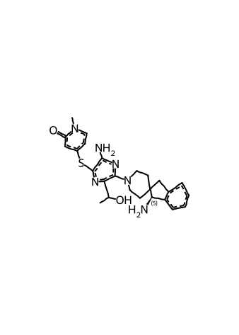 CC(O)c1nc(Sc2ccn(C)c(=O)c2)c(N)nc1N1CCC2(CC1)Cc1ccccc1[C@H]2N